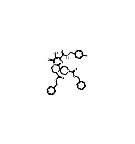 O=C(NCc1ccc(F)cc1)c1nc2n(c(=O)c1O)CCN(C(=O)OCc1ccccc1)C21CCN(C(=O)OCc2ccccc2)CC1